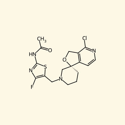 CC(=O)Nc1nc(F)c(CN2CCC[C@]3(C2)OCc2c3ccnc2Cl)s1